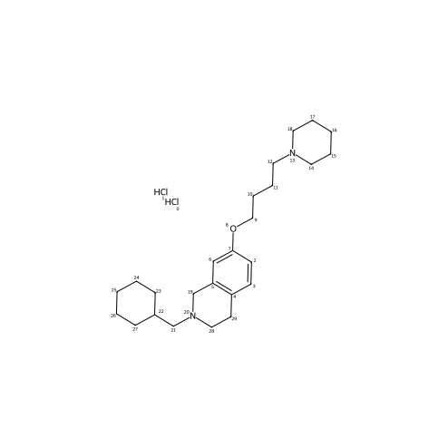 Cl.Cl.c1cc2c(cc1OCCCCN1CCCCC1)CN(CC1CCCCC1)CC2